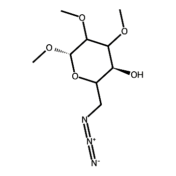 COC1C(OC)[C@@H](O)C(CN=[N+]=[N-])O[C@@H]1OC